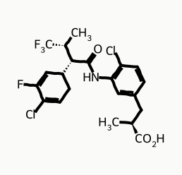 C[C@H]([C@H](C(=O)Nc1cc(C[C@H](C)C(=O)O)ccc1Cl)C1C=C(F)C(Cl)=CC1)C(F)(F)F